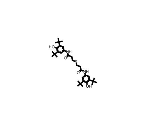 CC(C)(C)c1cc(NC(=O)CCSCCC(=O)Nc2cc(C(C)(C)C)c(O)c(C(C)(C)C)c2)cc(C(C)(C)C)c1O